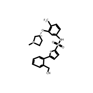 CN1CC[C@@H](Oc2cc(NS(=O)(=O)c3ccc(-c4ccccc4CC#N)s3)ccc2C(F)(F)F)C1